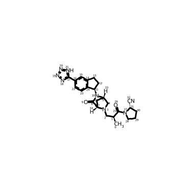 C[C@@H](CN1C[C@@H]2C[C@H]1C(=O)N2[C@@H]1CCc2cc(-c3nnn[nH]3)ccc21)C(=O)N1CCC[C@H]1C#N